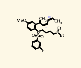 C=C(/C=C\C=C/C)c1cc(OC)ccc1N(CCCCN(CC)CC)S(=O)(=O)c1cccc(F)c1